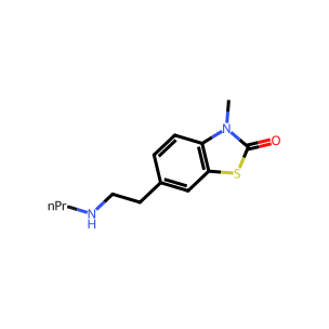 CCCNCCc1ccc2c(c1)sc(=O)n2C